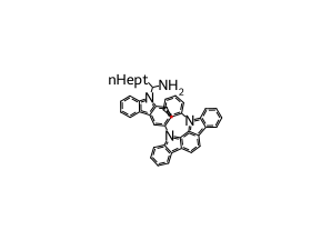 CCCCCCCC(N)n1c2ccccc2c2cc(-n3c4ccccc4c4ccc5c6ccccc6n(-c6ccccc6)c5c43)ccc21